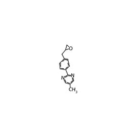 Cc1cnc(-c2ccc(CC3CO3)cc2)nc1